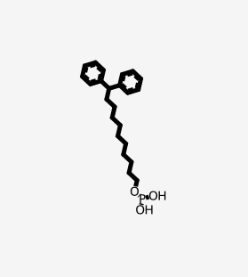 OP(O)OCCCCCCCCCCC(c1ccccc1)c1ccccc1